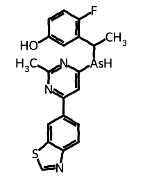 Cc1nc([AsH]C(C)c2cc(O)ccc2F)cc(-c2ccc3ncsc3c2)n1